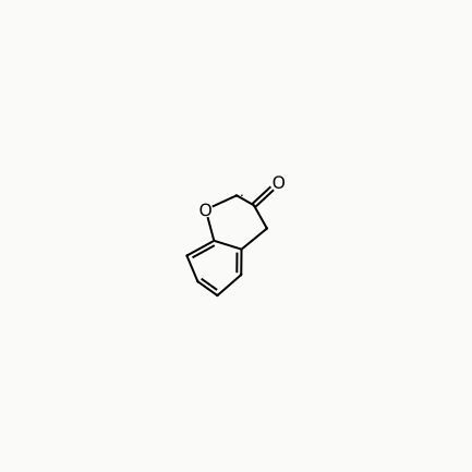 O=C1[CH]Oc2ccccc2C1